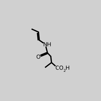 C/C=C/NC(=O)CC(C)C(=O)O